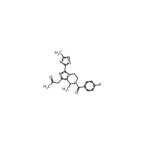 CC(=O)Cc1nc(-c2nc(C)ns2)n2c1C(C)N(C(=O)c1ccc(F)cc1)CC2